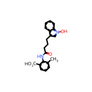 Cc1cccc(C(=O)O)c1NC(=O)CCCc1cn(O)c2ccccc12